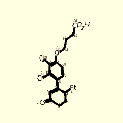 CCC1CCC(=O)C=C1c1ccc(OCCCC(=O)O)c(Cl)c1Cl